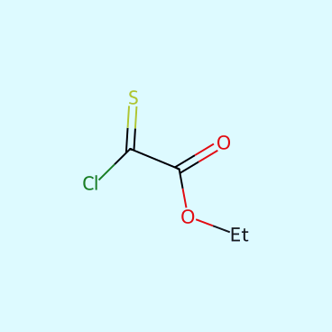 CCOC(=O)C(=S)Cl